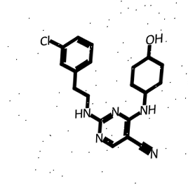 N#Cc1cnc(NCCc2cccc(Cl)c2)nc1NC1CCC(O)CC1